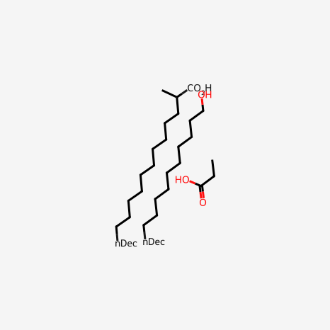 CCC(=O)O.CCCCCCCCCCCCCCCCCCCCC(C)C(=O)O.CCCCCCCCCCCCCCCCCCCCO